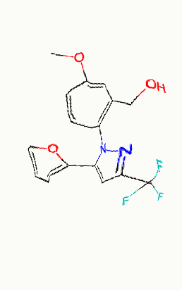 COc1ccc(-n2nc(C(F)(F)F)cc2-c2ccco2)c(CO)c1